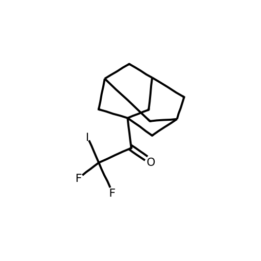 O=C(C(F)(F)I)C12CC3CC(CC(C3)C1)C2